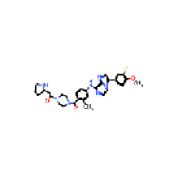 COc1ccc(-c2cnc3c(Nc4ccc(C(=O)N5CCN(C(=O)CC6CCCN6)CC5)c(C)c4)nccn23)cc1F